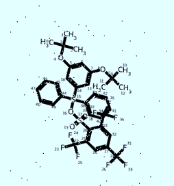 CC(C)(C)Oc1cc(OC(C)(C)C)cc(S(OS(=O)(=O)c2c(C(F)(F)F)cc(C(F)(F)F)cc2C(F)(F)F)(c2ccccc2)c2ccccc2)c1